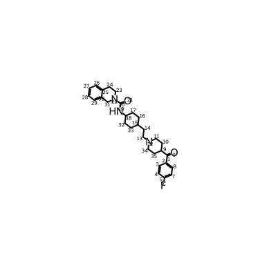 O=C(c1ccc(F)cc1)C1CCN(CCC2CCC(NC(=O)N3CCc4ccccc4C3)CC2)CC1